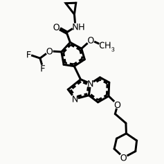 COc1cc(-c2cnc3cc(OCCC4CCOCC4)ccn23)cc(OC(F)F)c1C(=O)NC1CC1